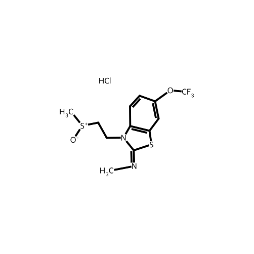 CN=c1sc2cc(OC(F)(F)F)ccc2n1CC[S+](C)[O-].Cl